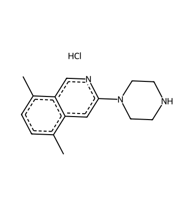 Cc1ccc(C)c2cc(N3CCNCC3)ncc12.Cl